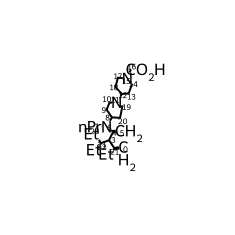 C=C(CC)C(C(=C)N(CCC)C1CCN(C2CCN(C(=O)O)CC2)CC1)C(CC)CC